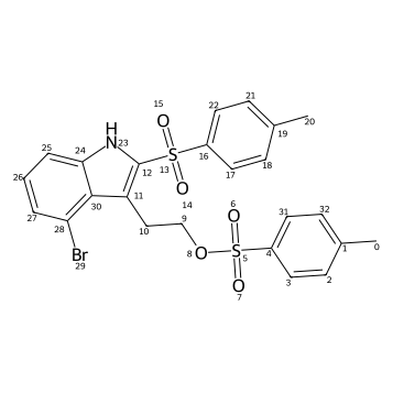 Cc1ccc(S(=O)(=O)OCCc2c(S(=O)(=O)c3ccc(C)cc3)[nH]c3cccc(Br)c23)cc1